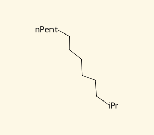 [CH2]C(C)CCCCCCCCCCC